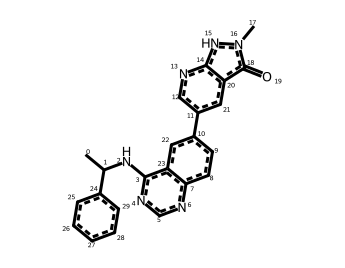 CC(Nc1ncnc2ccc(-c3cnc4[nH]n(C)c(=O)c4c3)cc12)c1ccccc1